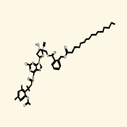 C#C[C@]1(COC(=O)c2ccccc2COC(=O)CCCCCCCCCCCCCCC)O[C@@H](n2cnc3c(NC(=O)CC(C)(C)c4c(C)cc(C)cc4OC(C)=O)nc(Cl)nc32)C[C@@H]1O